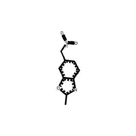 Cc1nc2ccc(C[SH](=O)=O)cc2o1